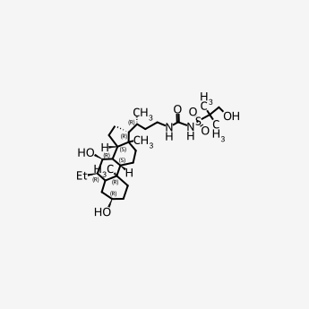 CC[C@@H]1C2C[C@H](O)CC[C@@]2(C)[C@H]2CCC3(C)[C@@H]([C@H](C)CCNC(=O)NS(=O)(=O)C(C)(C)CO)CC[C@H]3C2[C@@H]1O